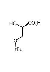 CC(C)(C)OC[C@@H](O)C(=O)O